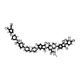 N#Cc1ccc(O[C@H]2CC[C@H](NC(=O)c3ccc(N4CCC(CN5CCN(c6cc7c(cc6F)C(=O)N(C(CCC(N)=O)C(=O)N6CCN(c8cc9c(cc8F)C(=O)N(C8CCC(=O)NC8=O)C9=O)CC6)C7=O)CC5)CC4)nn3)CC2)cc1Cl